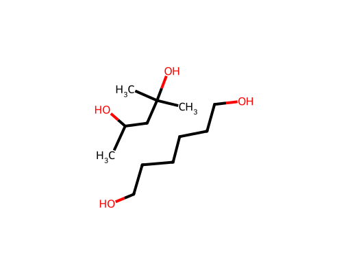 CC(O)CC(C)(C)O.OCCCCCCO